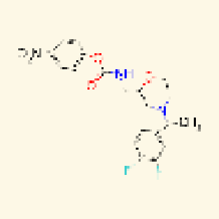 CC(c1ccc(F)c(F)c1)N1CCO[C@@H](CNC(=O)Oc2ccc([N+](=O)[O-])cc2)C1